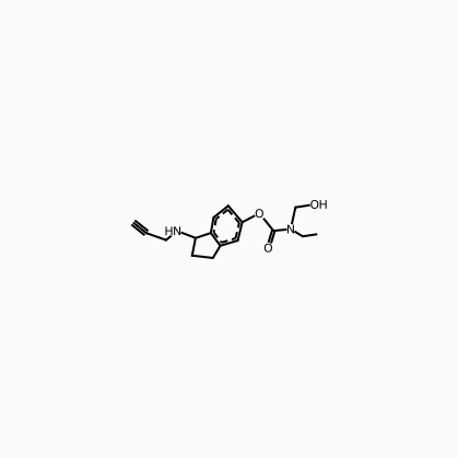 C#CCNC1CCc2cc(OC(=O)N(CC)CO)ccc21